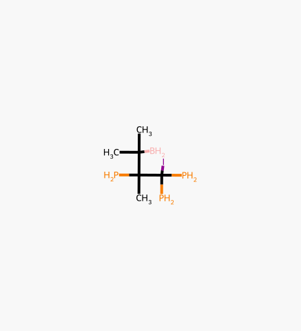 BC(C)(C)C(C)(P)C(P)(P)I